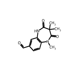 CN1C(=O)C(C)(C)C(=O)Nc2cc(C=O)ccc21